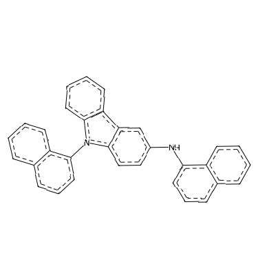 c1ccc2c(Nc3ccc4c(c3)c3ccccc3n4-c3cccc4ccccc34)cccc2c1